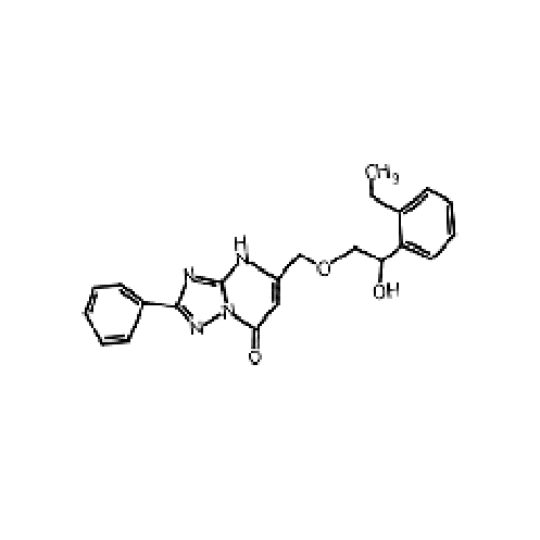 CCc1ccccc1C(O)COCc1cc(=O)n2nc(-c3ccccc3)nc2[nH]1